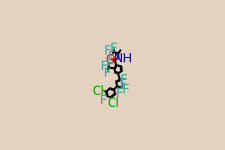 CC(NC(=O)c1ccc(C(F)=CC(c2cc(Cl)c(F)c(Cl)c2)C(F)(F)F)cc1C(F)(F)F)C(F)(F)F